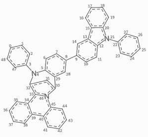 c1ccc(N2c3ccc(-c4ccc5c(c4)c4ccccc4n5-c4ccccc4)cc3-c3cc2c2c4ccccc4c4ccccc4n32)cc1